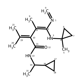 C=N/C(NC1(C)CC1)=C(\C)C(C(=O)NC(C)C1CC1)=C(C)C